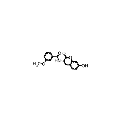 COc1cccc(C(=O)Nc2cc3ccc(O)cc3oc2=O)c1